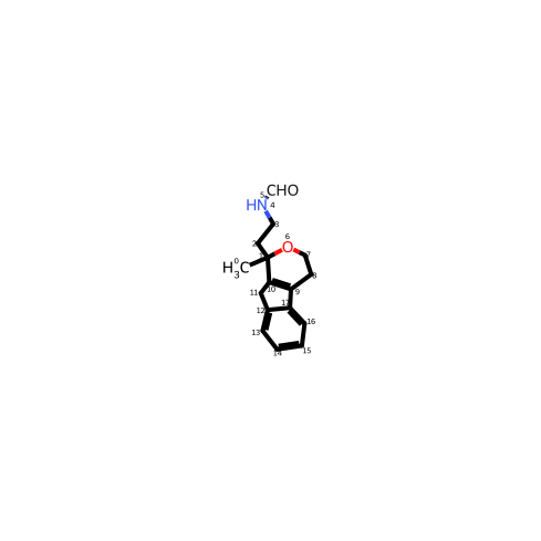 CC1(CCNC=O)OCCC2=C1Cc1ccccc12